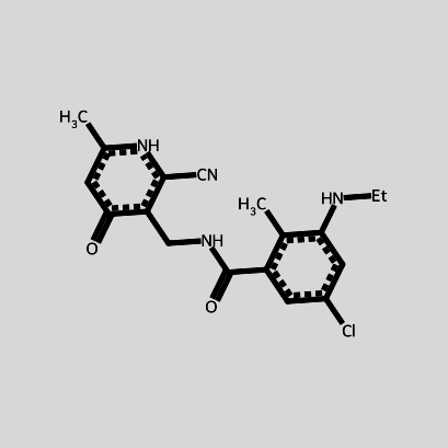 CCNc1cc(Cl)cc(C(=O)NCc2c(C#N)[nH]c(C)cc2=O)c1C